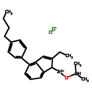 CCCCc1ccc(-c2cccc3c2C=C(CC)[CH]3[Zr+2][O][SiH](C)C)cc1.[Cl-].[Cl-]